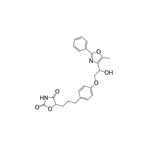 Cc1oc(-c2ccccc2)nc1C(O)COc1ccc(CCCC2OC(=O)NC2=O)cc1